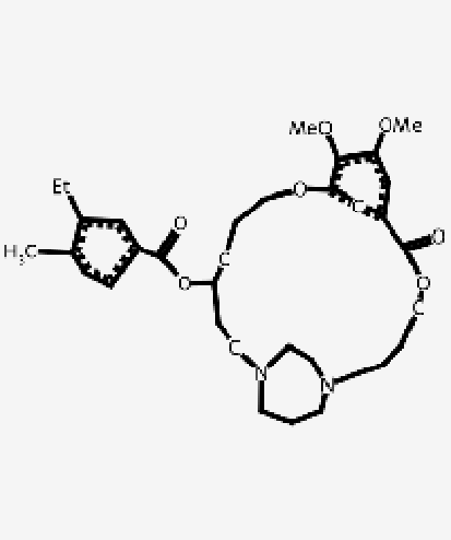 CCc1cc(C(=O)OC2CCCOc3cc(cc(OC)c3OC)C(=O)OCCCN3CCCN(CC2)CC3)ccc1C